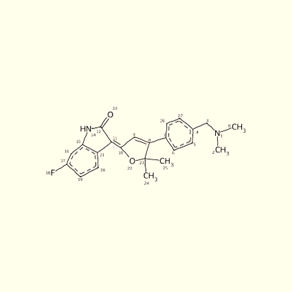 CN(C)Cc1ccc(C2=C/C(=C3\C(=O)Nc4cc(F)ccc43)OC2(C)C)cc1